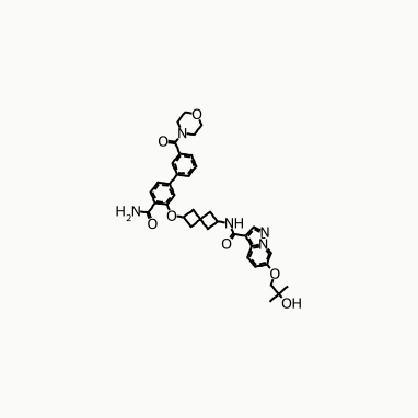 CC(C)(O)COc1ccc2c(C(=O)NC3CC4(C3)CC(Oc3cc(-c5cccc(C(=O)N6CCOCC6)c5)ccc3C(N)=O)C4)cnn2c1